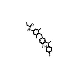 CCC(=O)Nc1cc(C)c(Cc2ccc(O)c(C(C)c3ccc(F)cc3)c2)c(C)c1